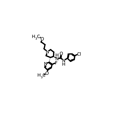 COCCCN1CC[C@@H](NC(=O)Nc2ccc(Cl)cc2)[C@H](c2ncc(OC)cc2F)C1